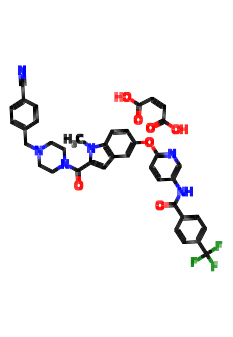 Cn1c(C(=O)N2CCN(Cc3ccc(C#N)cc3)CC2)cc2cc(Oc3ccc(NC(=O)c4ccc(C(F)(F)F)cc4)cn3)ccc21.O=C(O)/C=C\C(=O)O